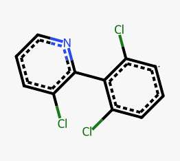 Clc1[c]ccc(Cl)c1-c1ncccc1Cl